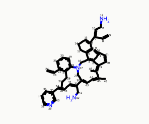 C=C\C1=C(/C2=CC(/C(C=C)=C/CN)=CCC2)CN(c2cccc(C=C)c2CCC)CC(\C(=C\C=C\c2cccnc2)CN)=C/C=C(C)/C(C)=C1\C=C/C